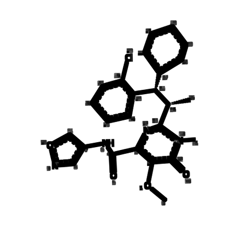 COc1c(C(=O)Nc2cnoc2)nc([C@@H](C)[C@@H](c2ccccc2)c2ccccc2Cl)n(C)c1=O